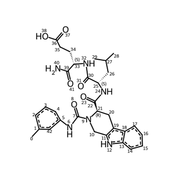 Cc1cccc(NC(=O)N2Cc3[nH]c4ccccc4c3C[C@@H]2C(=O)N[C@@H](CC(C)C)C(=O)N[C@@H](CCC(=O)O)C(N)=O)c1